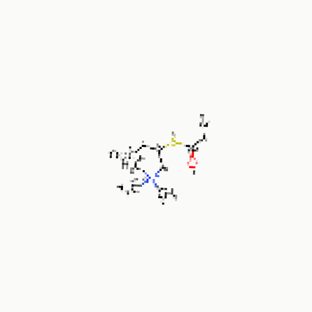 CC(=O)CC(=O)SC(CC(=O)[O-])C[N+](C)(C)C